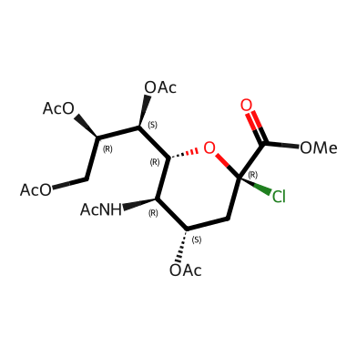 COC(=O)[C@]1(Cl)C[C@H](OC(C)=O)[C@@H](NC(C)=O)[C@H]([C@H](OC(C)=O)[C@@H](COC(C)=O)OC(C)=O)O1